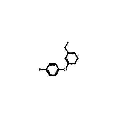 CCC1=CCCC(Oc2ccc(F)cc2)=C1